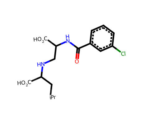 CC(C)CC(NCC(NC(=O)c1cccc(Cl)c1)C(=O)O)C(=O)O